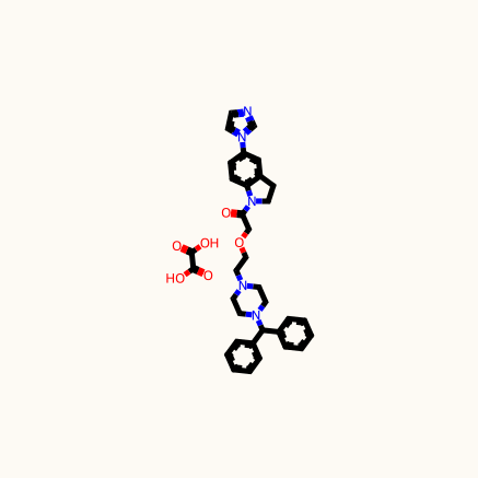 O=C(COCCN1CCN(C(c2ccccc2)c2ccccc2)CC1)N1CCc2cc(-n3ccnc3)ccc21.O=C(O)C(=O)O